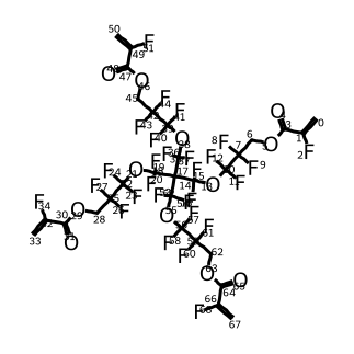 C=C(F)C(=O)OCC(F)(F)C(F)(F)OC(F)(F)C(C(F)(F)OC(F)(F)C(F)(F)COC(=O)C(=C)F)(C(F)(F)OC(F)(F)C(F)(F)COC(=O)C(=C)F)C(F)(F)OC(F)(F)C(F)(F)COC(=O)C(=C)F